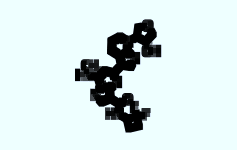 CNc1cc(-c2cnc3n(C4COC[C@@H]4O)cccc2-3)nc2c(C(=O)NC3CCC3(F)F)cnn12